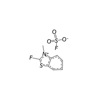 C[n+]1c(F)sc2ccccc21.O=S(=O)([O-])F